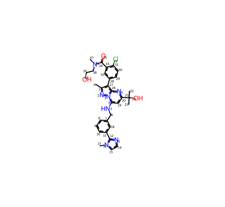 Cc1nn2c(NCc3cccc(-c4nccn4C)c3)cc(C(C)(C)O)nc2c1-c1ccc(Cl)c(C(=O)N(C)CCO)c1